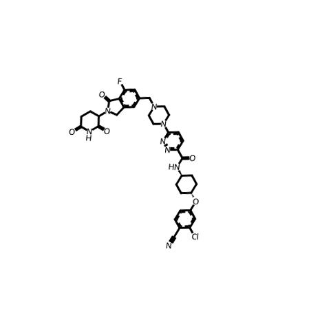 N#Cc1ccc(O[C@H]2CC[C@H](NC(=O)c3ccc(N4CCN(Cc5cc(F)c6c(c5)CN(C5CCC(=O)NC5=O)C6=O)CC4)nn3)CC2)cc1Cl